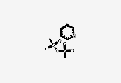 CS(=O)(=O)OS(C)(=O)=O.c1ccncc1